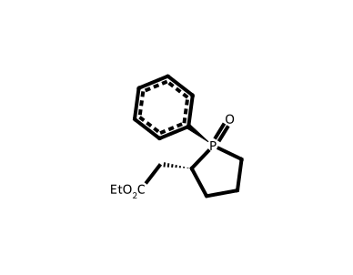 CCOC(=O)C[C@H]1CCC[P@]1(=O)c1ccccc1